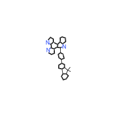 CC1(C)c2ccccc2-c2ccc(-c3ccc(-c4nc5ccccc5c5c6cccnc6c6ncccc6c45)cc3)cc21